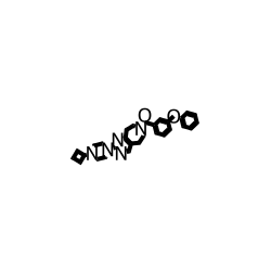 O=C(c1cccc(Oc2ccccc2)c1)N1CCc2cnc(N3CCN(C4CCC4)CC3)nc2CC1